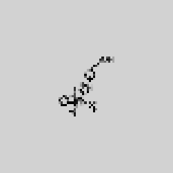 C=C(C)Cc1c([C@H](NCC(C)(C)F)c2cnc(N3CCC(CCCO)CC3)nc2)[nH]c2ccccc12